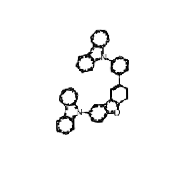 C1=C(c2cccc(-n3c4ccccc4c4ccccc43)c2)CCc2oc3ccc(-n4c5ccccc5c5ccccc54)cc3c21